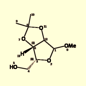 COC1O[C@H](CO)[C@@H]2OC(C)(C)OC12